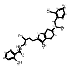 CCC(CCc1sc2c(c1C#N)CCC(N(Cc1ccc(Cl)cc1Cl)C(C)C)C2)CNC(=O)c1ccccc1O